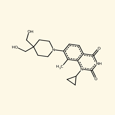 Cc1c(N2CCC(CO)(CO)CC2)ccc2c(=O)[nH]c(=O)n(C3CC3)c12